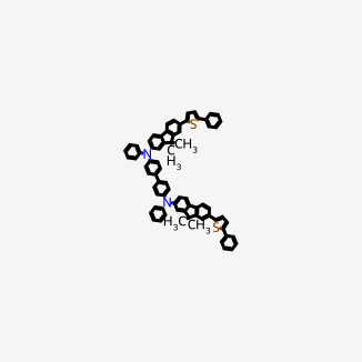 CC1(C)c2cc(-c3ccc(-c4ccccc4)s3)ccc2-c2ccc(N(c3ccccc3)c3ccc(-c4ccc(N(c5ccccc5)c5ccc6c(c5)C(C)(C)c5cc(-c7ccc(-c8ccccc8)s7)ccc5-6)cc4)cc3)cc21